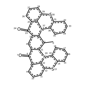 Cc1c2c(cc3c(=O)c4cccc5sc6ccccc6n(c13)c54)c(=O)c1cccc3sc4ccccc4n2c31